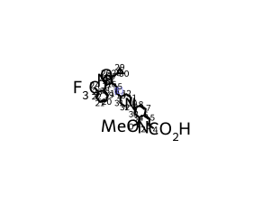 COc1nc(C(=O)O)cc2ccc(N3CCC(/C=C/c4c(-c5ccccc5C(F)(F)F)noc4C4CC4)CC3)cc12